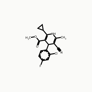 COC(=O)C1=C(C2CC2)NC(C)=C(C#N)C1c1ccc(F)cc1Cl